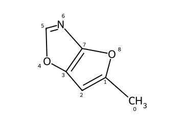 Cc1cc2ocnc2o1